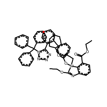 CCOC(=O)c1cccc2c1[N+](Cc1ccc(-c3ccccc3-c3nnnn3C(c3ccccc3)(c3ccccc3)c3ccccc3)cc1)(OC(=O)OC1CCCCC1)C(OCC)=N2